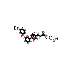 CCc1cccc(Oc2cccc(C34CCC(CCC5C[C@H]5C(=O)O)(CC3)CO4)c2)c1